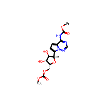 CC(C)OC(=O)Nc1ncnn2c([C@]3(C)O[C@H](COC(=O)OC(C)(C)C)[C@@H](O)[C@H]3O)ccc12